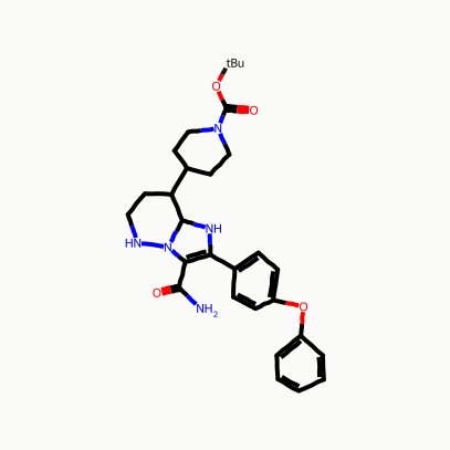 CC(C)(C)OC(=O)N1CCC(C2CCNN3C(C(N)=O)=C(c4ccc(Oc5ccccc5)cc4)NC23)CC1